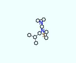 c1ccc(-c2cc(-c3ccccc3)cc(-c3ccc(N(c4ccc(-n5c6ccccc6c6ccccc65)cc4)c4cccc5c4sc4ccccc45)cc3)c2)cc1